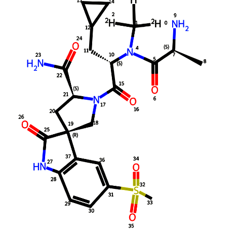 [2H]C([2H])([2H])N(C(=O)[C@H](C)N)[C@@H](CC1CC1)C(=O)N1C[C@]2(C[C@H]1C(N)=O)C(=O)Nc1ccc(S(C)(=O)=O)cc12